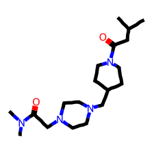 CC(C)CC(=O)N1CCC(CN2CCN(CC(=O)N(C)C)CC2)CC1